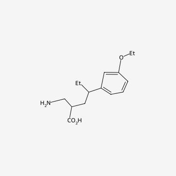 CCOc1cccc(C(CC)CC(CN)C(=O)O)c1